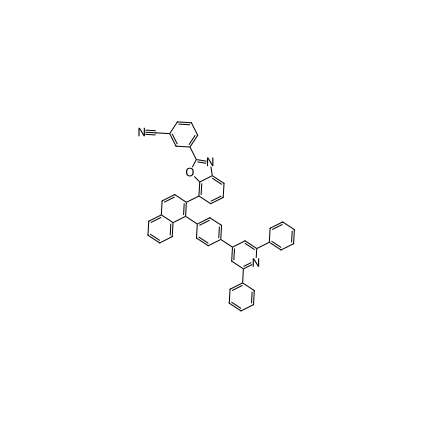 N#Cc1cccc(-c2nc3cccc(-c4ccc5ccccc5c4-c4ccc(-c5cc(-c6ccccc6)nc(-c6ccccc6)c5)cc4)c3o2)c1